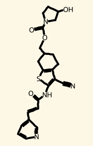 N#Cc1c(NC(=O)C=Cc2cccnc2)sc2c1CCC(COC(=O)N1CCC(O)C1)C2